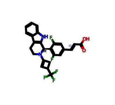 O=C(O)/C=C/c1cc(F)c([C@@H]2c3[nH]c4ccccc4c3CCN2C2=CC(C(F)(F)F)C2)c(F)c1